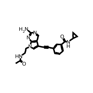 CC(=O)NCCn1cc(C#Cc2cccc(C(=O)NC3CC3)c2)c2cnc(N)nc21